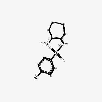 N#Cc1ccc(S(=O)(=O)NC2CCCCC2C(=O)O)cc1